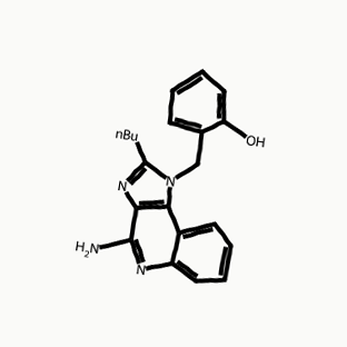 CCCCc1nc2c(N)nc3ccccc3c2n1Cc1ccccc1O